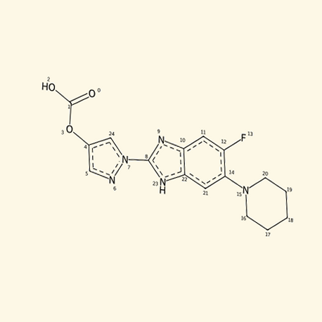 O=C(O)Oc1cnn(-c2nc3cc(F)c(N4CCCCC4)cc3[nH]2)c1